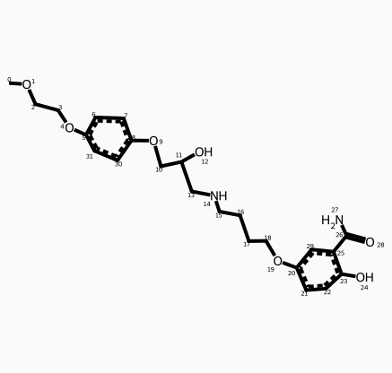 COCCOc1ccc(OCC(O)CNCCCCOc2ccc(O)c(C(N)=O)c2)cc1